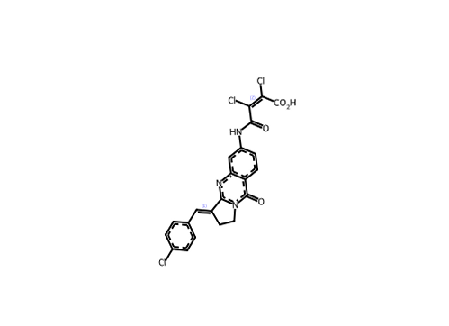 O=C(O)/C(Cl)=C(/Cl)C(=O)Nc1ccc2c(=O)n3c(nc2c1)/C(=C/c1ccc(Cl)cc1)CC3